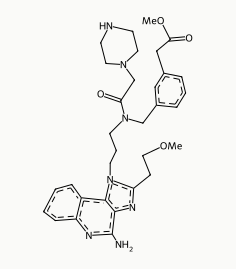 COCCc1nc2c(N)nc3ccccc3c2n1CCCN(Cc1cccc(CC(=O)OC)c1)C(=O)CN1CCNCC1